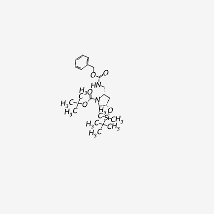 CC(C)(C)OC(=O)N1C[C@@H](O[Si](C)(C)C(C)(C)C)C[C@H]1CNC(=O)OCc1ccccc1